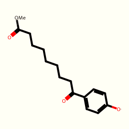 COC(=O)CCCCCCCC(=O)c1ccc([O])cc1